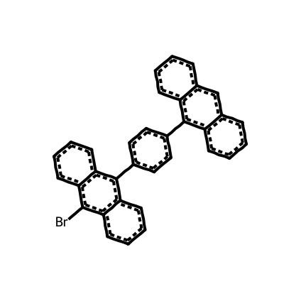 Brc1c2ccccc2c(-c2ccc(-c3c4ccccc4cc4ccccc34)cc2)c2ccccc12